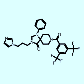 O=C(c1cc(C(F)(F)F)cc(C(F)(F)F)c1)N1CCC2(CC1)C(=O)N(CCCn1ccnc1)CN2c1ccccc1